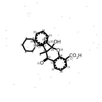 CCC(N1CCCCC1)C1(C)C(=O)c2cccc(C(=O)O)c2OC1(O)c1ccccc1